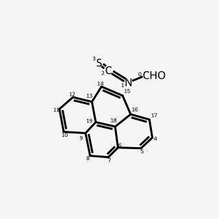 O=CN=C=S.c1cc2ccc3cccc4ccc(c1)c2c34